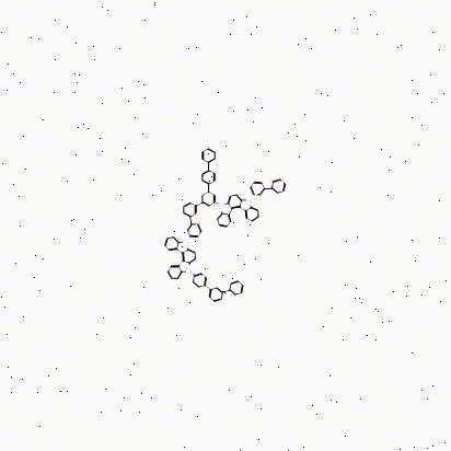 C1=C(c2cccc3c2oc2ccc(-n4c5ccccc5c5c6c7ccccc7n(-c7ccc(-c8cccc(-c9ccccc9)c8)cc7)c6ccc54)cc23)CC(c2ccc(-c3ccccc3)cc2)C=C1n1c2ccccc2c2c3c4ccccc4n(-c4ccc5oc6ccccc6c5c4)c3ccc21